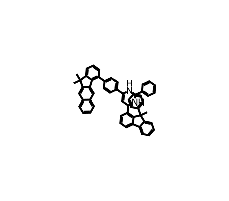 CC1(C)c2cc3ccccc3cc2-c2c(-c3ccc(C4=CC(c5cccc6c5C(C)(c5ccccc5)c5ccccc5-6)NC(c5ccccc5)N4)cc3)cccc21